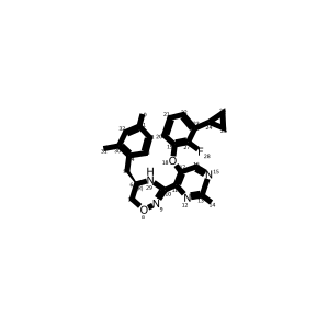 Cc1ccc(C[C@@H]2CON=C(c3nc(C)ncc3Oc3cccc(C4CC4)c3F)N2)c(C)c1